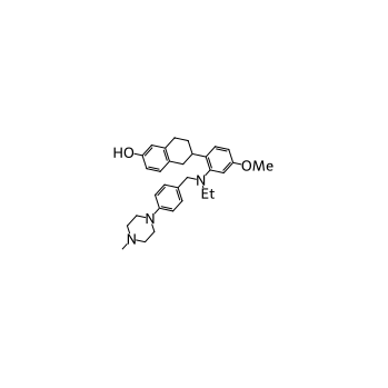 CCN(Cc1ccc(N2CCN(C)CC2)cc1)c1cc(OC)ccc1C1CCc2cc(O)ccc2C1